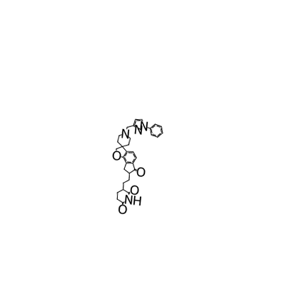 O=C1CCC(CCC2Cc3c(ccc4c3OCC43CCN(Cc4ccn(-c5ccccc5)n4)CC3)C2=O)C(=O)N1